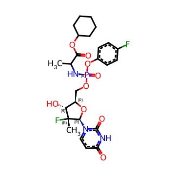 CC(N[P@@](=O)(OC[C@H]1O[C@@H](n2ccc(=O)[nH]c2=O)[C@](C)(F)[C@@H]1O)Oc1ccc(F)cc1)C(=O)OC1CCCCC1